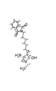 B[C@H]1O[C@@H](CC)[C@@H](O)C1OCCCCCCN1C(=O)c2ccccc2C1=O